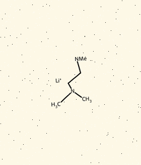 C[N-]CCN(C)C.[Li+]